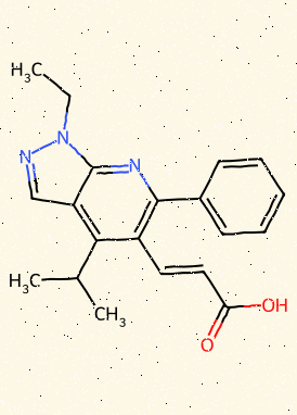 CCn1ncc2c(C(C)C)c(C=CC(=O)O)c(-c3ccccc3)nc21